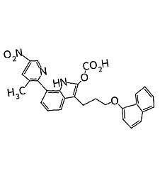 Cc1cc([N+](=O)[O-])cnc1-c1cccc2c(CCCOc3cccc4ccccc34)c(OC(=O)O)[nH]c12